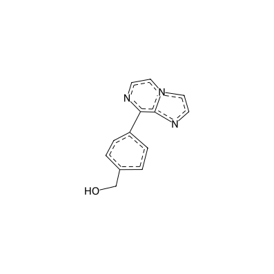 OCc1ccc(-c2nccn3ccnc23)cc1